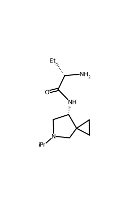 CC[C@H](N)C(=O)N[C@H]1CN(C(C)C)CC12CC2